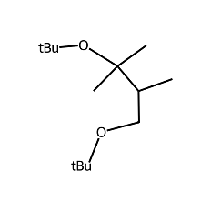 CC(COC(C)(C)C)C(C)(C)OC(C)(C)C